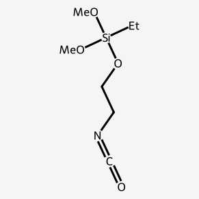 CC[Si](OC)(OC)OCCN=C=O